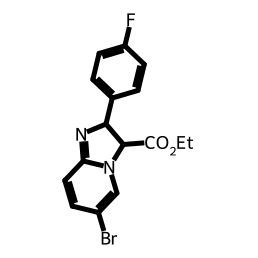 CCOC(=O)C1C(c2ccc(F)cc2)N=C2C=CC(Br)=CN21